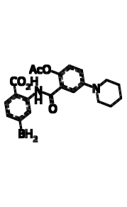 Bc1ccc(C(=O)O)c(NC(=O)c2cc(N3CCCCC3)ccc2OC(C)=O)c1